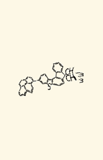 CC1(C)c2ccccc2-c2c1ccc1sc3cc(-c4ccc5ccc6cccc7ccc4c5c67)ccc3c21